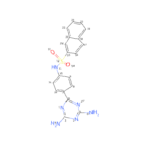 Nc1nc(N)nc(-c2ccc(NS(=O)(=O)c3ccc4ccccc4c3)cc2)n1